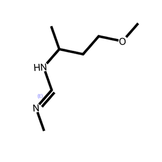 C/N=C/NC(C)CCOC